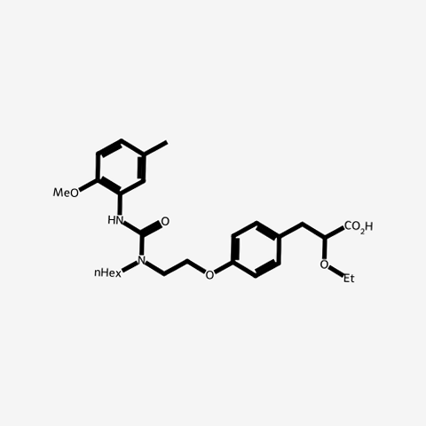 CCCCCCN(CCOc1ccc(CC(OCC)C(=O)O)cc1)C(=O)Nc1cc(C)ccc1OC